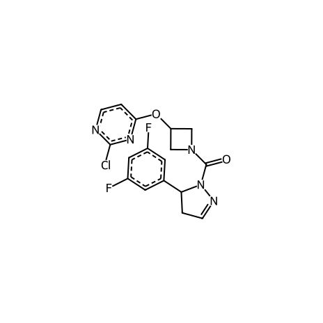 O=C(N1CC(Oc2ccnc(Cl)n2)C1)N1N=CCC1c1cc(F)cc(F)c1